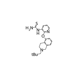 CC(C)(C)CN1CCc2c(cccc2Oc2ncccc2NC(N)=S)C1